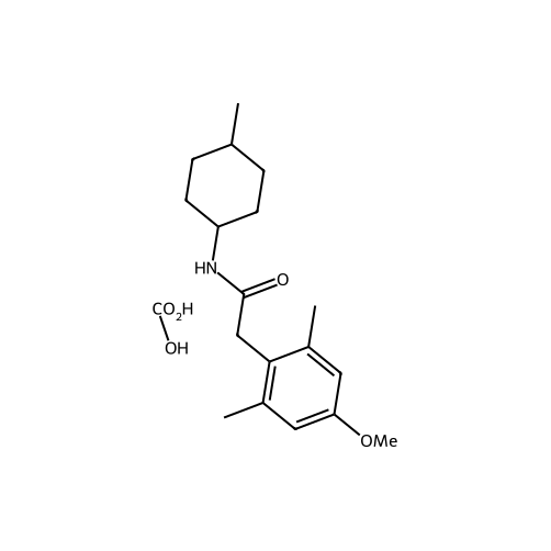 COc1cc(C)c(CC(=O)NC2CCC(C)CC2)c(C)c1.O=C(O)O